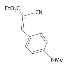 CCOC(=O)C(C#N)=Cc1ccc(NC)cc1